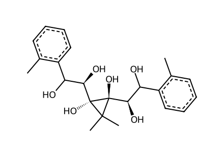 Cc1ccccc1C(O)[C@@H](O)[C@]1(O)C(C)(C)[C@@]1(O)[C@H](O)C(O)c1ccccc1C